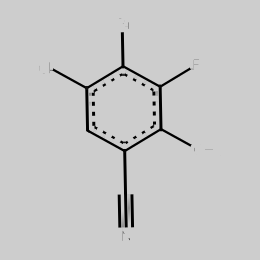 Cc1c(C#N)cc(Cl)c(Br)c1F